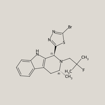 C[C@@H]1Cc2c([nH]c3ccccc23)[C@@H](c2nnc(Br)s2)N1CC(C)(C)F